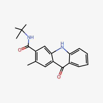 Cc1cc2c(=O)c3ccccc3[nH]c2cc1C(=O)NC(C)(C)C